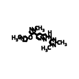 Cc1cc(Nc2cc3cc(-c4c(O[C@H]5CCN(C)C5)cnn4C)ccn3n2)nc(C)n1